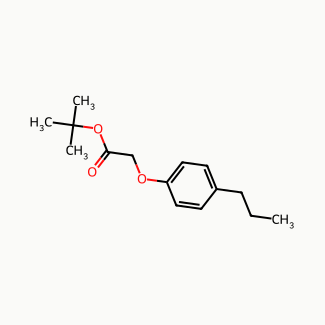 CCCc1ccc(OCC(=O)OC(C)(C)C)cc1